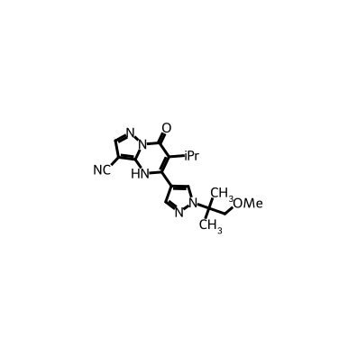 COCC(C)(C)n1cc(-c2[nH]c3c(C#N)cnn3c(=O)c2C(C)C)cn1